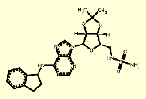 CC1(C)O[C@@H]2[C@H](O1)[C@@H](CNS(N)(=O)=O)O[C@H]2n1cnc2c(N[C@H]3CCc4ccccc43)ncnc21